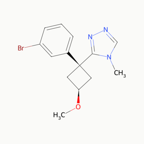 CO[C@H]1C[C@](c2cccc(Br)c2)(c2nncn2C)C1